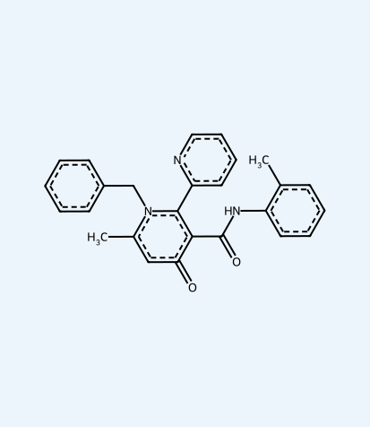 Cc1ccccc1NC(=O)c1c(-c2ccccn2)n(Cc2ccccc2)c(C)cc1=O